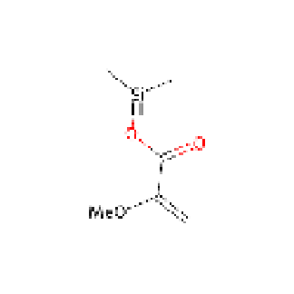 C=C(OC)C(=O)O[SiH](C)C